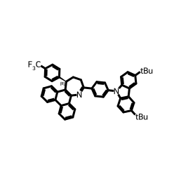 CC(C)(C)c1ccc2c(c1)c1cc(C(C)(C)C)ccc1n2-c1ccc(C2=Nc3c(c4ccccc4c4ccccc34)[C@@H](c3ccc(C(F)(F)F)cc3)CC2)cc1